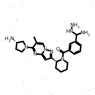 Cc1cn2nc([C@@H]3CCCCN3C(=O)c3cccc(C(N)NN)c3)cc2nc1N1CC[C@H](N)C1